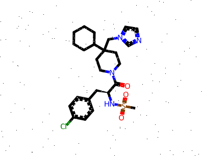 CS(=O)(=O)N[C@@H](Cc1ccc(Cl)cc1)C(=O)N1CCC(Cn2ccnc2)(C2CCCCC2)CC1